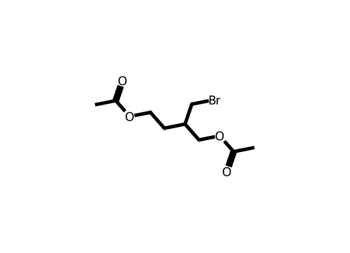 CC(=O)OCCC(CBr)COC(C)=O